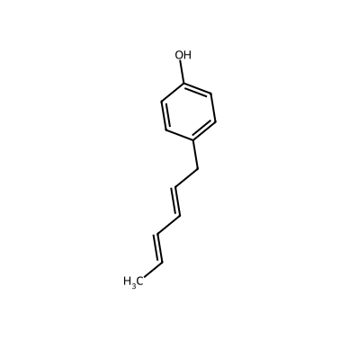 C/C=C/C=C/Cc1ccc(O)cc1